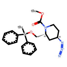 CC(C)(C)OC(=O)N1CC[C@@H](N=[N+]=[N-])C[C@@H]1CO[Si](c1ccccc1)(c1ccccc1)C(C)(C)C